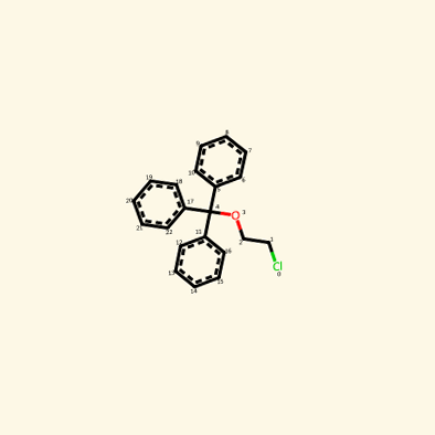 ClCCOC(c1ccccc1)(c1ccccc1)c1ccccc1